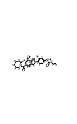 C=CCC(=O)Nc1ccc(-c2cc3nc(C(=O)N4CCCCCC4C)cc(CC)n3n2)c(F)c1